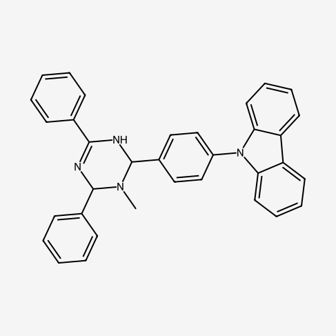 CN1C(c2ccccc2)N=C(c2ccccc2)NC1c1ccc(-n2c3ccccc3c3ccccc32)cc1